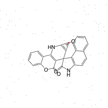 O=C1Nc2ccc3ccccc3c2C12c1cc(Cl)ccc1Nc1c2c(=O)oc2ccccc12